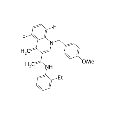 C=C(Nc1ccccc1CC)C1=CN(Cc2ccc(OC)cc2)c2c(F)ccc(F)c2C1=C